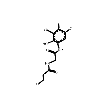 Cc1c(Cl)cc(NC(=O)CNC(=O)CCCl)c(O)c1Cl